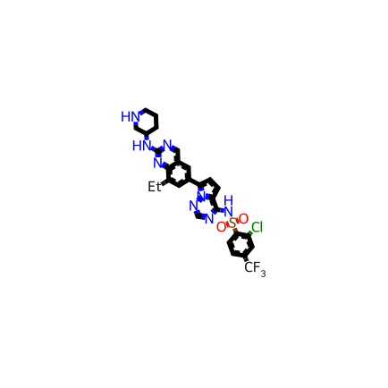 CCc1cc(-c2ccc3c(NS(=O)(=O)c4ccc(C(F)(F)F)cc4Cl)ncnn23)cc2cnc(NC3CCCNC3)nc12